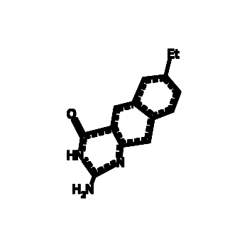 CCc1ccc2cc3nc(N)[nH]c(=O)c3cc2c1